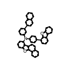 c1cc(-c2ccc3ccccc3c2)cc(N(c2ccc(-c3cccc4c3oc3ccccc34)cc2)c2cccc3oc4c5ccccc5ccc4c23)c1